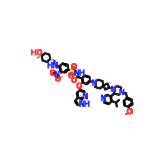 COc1ccc(CN2CCN(C3CC4(CCN(c5ccc(C(=O)NS(=O)(=O)c6ccc(NC[C@H]7CC[C@](C)(O)CC7)c([N+](=O)[O-])c6)c(Oc6cnc7[nH]ccc7c6)c5)CC4)C3)C(c3cnccc3C(C)C)C2)cc1